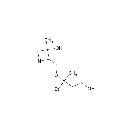 CCC(C)(CCO)OCC1NCC1(C)O